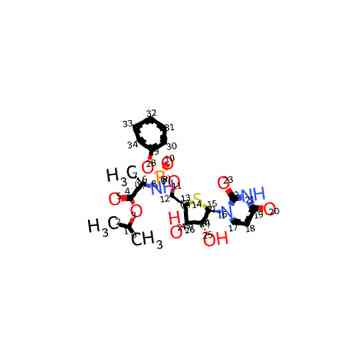 CC(C)OC(=O)[C@H](C)N[P@@](=O)(OC[C@H]1S[C@@H](n2ccc(=O)[nH]c2=O)[C@H](O)[C@@H]1O)Oc1ccccc1